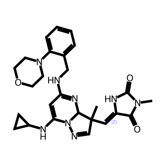 CN1C(=O)N/C(=C\C2(C)C=NN3C(NC4CC4)=CC(NCc4ccccc4N4CCOCC4)=NC32)C1=O